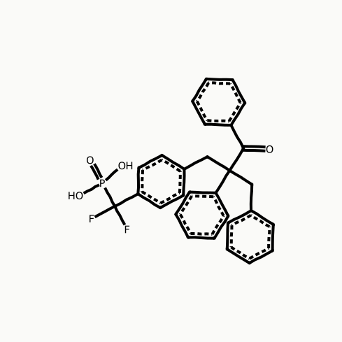 O=C(c1ccccc1)C(Cc1ccccc1)(Cc1ccc(C(F)(F)P(=O)(O)O)cc1)c1ccccc1